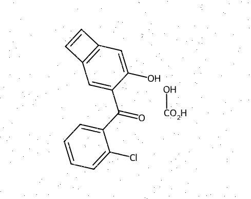 O=C(O)O.O=C(c1cc2c(cc1O)C=C2)c1ccccc1Cl